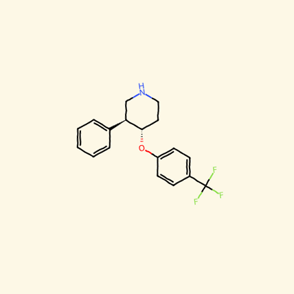 FC(F)(F)c1ccc(O[C@H]2CCNC[C@@H]2c2ccccc2)cc1